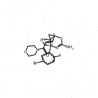 NC1=N[C@](CF)(c2cc(Br)ccc2F)[C@@H]2C[C@]2(/C=C/C(=O)N2CCOCC2)S1